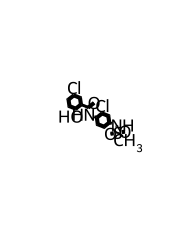 CS(=O)(=O)Nc1ccc(NC(=O)c2cc(Cl)ccc2O)c(Cl)c1